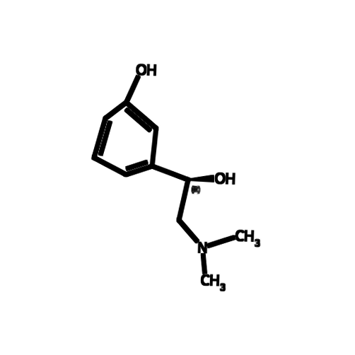 CN(C)C[C@H](O)c1cccc(O)c1